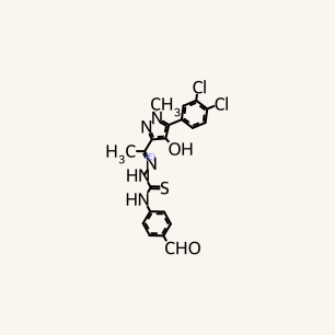 C/C(=N\NC(=S)Nc1ccc(C=O)cc1)c1nn(C)c(-c2ccc(Cl)c(Cl)c2)c1O